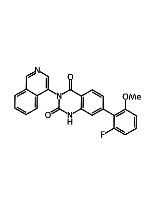 COc1cccc(F)c1-c1ccc2c(=O)n(-c3cncc4ccccc34)c(=O)[nH]c2c1